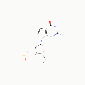 COCC1OC(n2ccc3c(=O)[nH]c(N)nc32)CC1OP(=O)(S)OC